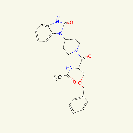 O=C(C(COCc1ccccc1)NC(=O)C(F)(F)F)N1CCC(n2c(=O)[nH]c3ccccc32)CC1